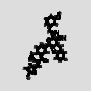 COc1cccc(CNCC(O)C(Cc2ccccc2)NC(=O)c2cccc(C(=O)N(Cc3nc(C)cs3)C3CC3)c2)c1